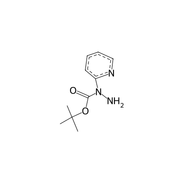 CC(C)(C)OC(=O)N(N)c1ccccn1